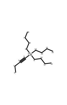 C[CH]C#C[Si](CCCC)(CCCC)CCCC